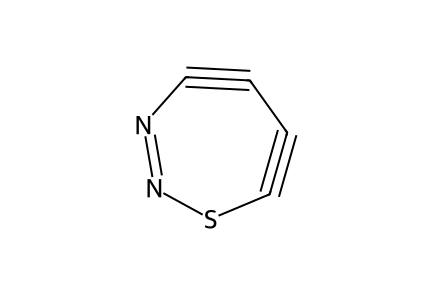 C1#CN=NSC#C1